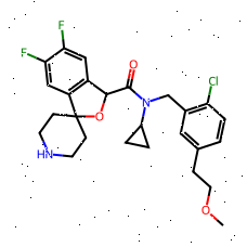 COCCc1ccc(Cl)c(CN(C(=O)C2OC3(CCNCC3)c3cc(F)c(F)cc32)C2CC2)c1